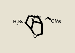 B[C@@H]1CC[C@@]2(COC)COC1C2OC